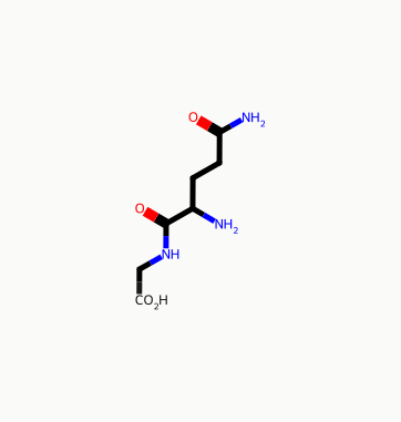 NC(=O)CCC(N)C(=O)NCC(=O)O